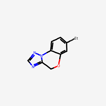 CCc1ccc2c(c1)OCc1ncnn1-2